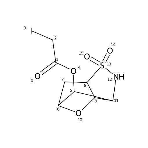 O=C(CI)OC1C2CC3C(O2)C1NS3(=O)=O